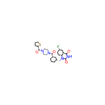 O=C(c1cccc(Cn2c(=O)[nH]c(=O)c3cc(F)ccc32)c1)N1CCN(C(=O)c2cccs2)CC1